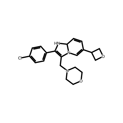 Clc1ccc(C2=C(CN3CCOCC3)N3C=C(C4COC4)C=CC3N2)cc1